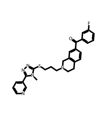 Cn1c(SCCCN2CCc3ccc(C(=O)c4cccc(F)c4)cc3C2)nnc1-c1cccnc1